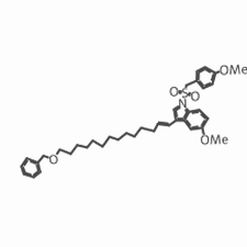 COc1ccc(CS(=O)(=O)n2cc(C=CCCCCCCCCCCCCOCc3ccccc3)c3cc(OC)ccc32)cc1